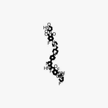 O=C1CCC(N2C(=O)c3cc(F)c(N4CCN(CC5CCN(c6ccc(-c7cnc8[nH]cc(C(=O)c9c(F)ccc(NS(=O)(=O)N%10CC[C@@H](F)C%10)c9F)c8c7)cc6)CC5)CC4)cc3C2=O)C(=O)N1